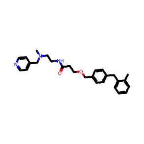 Cc1ccccc1Cc1ccc(COCCC(=O)NCCN(C)Cc2ccncc2)cc1